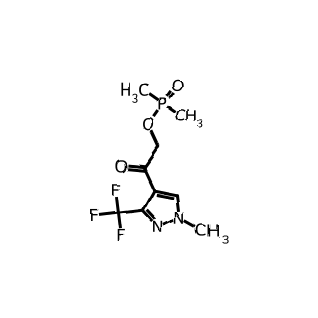 Cn1cc(C(=O)COP(C)(C)=O)c(C(F)(F)F)n1